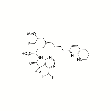 COC(CF)CN(CCCCc1ccc2c(n1)NCCC2)CCC(NC(=O)C1(c2cncnc2C(F)F)CC1)C(=O)O